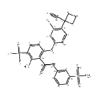 Cc1c(C(F)(F)F)nnc(Oc2ncc(C3(C#N)CCC3)c(F)n2)c1C(=O)Nc1cccc(S(C)(=N)=O)c1